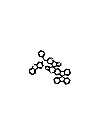 c1ccc(N(c2cnc3c(c2)C2(c4ccccc4Sc4cc5c(cc42)-c2ccccc2C52c4ccccc4-c4ccccc42)c2cccnc2-3)c2ccc3c(c2)sc2ccccc23)cc1